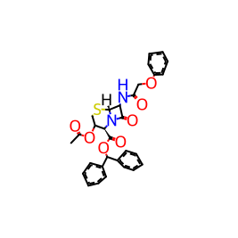 CC(=O)OC1CS[C@@H]2[C@H](NC(=O)COc3ccccc3)C(=O)N2[C@H]1C(=O)OC(c1ccccc1)c1ccccc1